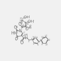 O=C(NCc1ccc(-c2ccccc2)cc1)c1cn([C@@H]2O[C@H](CO)[C@H](O)[C@H]2OF)c(=O)[nH]c1=O